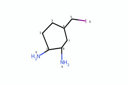 NC1CCC(CI)CC1N